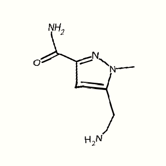 Cn1nc(C(N)=O)cc1CN